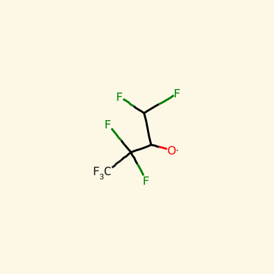 [O]C(C(F)F)C(F)(F)C(F)(F)F